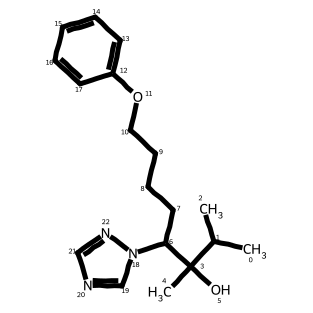 CC(C)C(C)(O)C(CCCCOc1ccccc1)n1cncn1